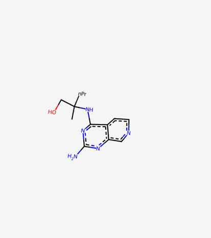 CCCC(C)(CO)Nc1nc(N)nc2cnccc12